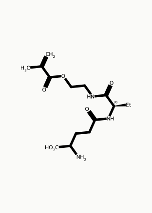 C=C(C)C(=O)OCCNC(=O)[C@@H](CC)NC(=O)CCC(N)C(=O)O